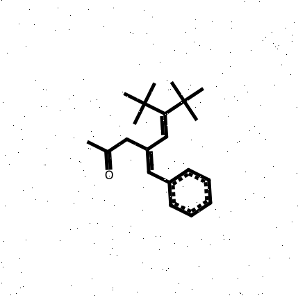 CC(=O)CC(=Cc1ccccc1)C=C(C(C)(C)C)C(C)(C)C